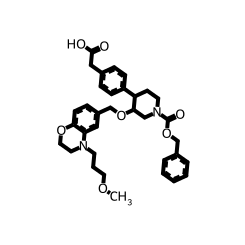 COCCCN1CCOc2ccc(COC3CN(C(=O)OCc4ccccc4)CCC3c3ccc(CC(=O)O)cc3)cc21